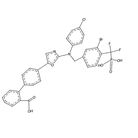 O=C(O)c1ccccc1-c1ccc(-c2cnc(N(Cc3ccc(C(F)(F)P(=O)(O)O)c(Br)c3)c3ccc(Cl)cc3)o2)cc1